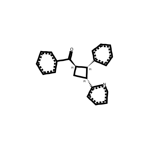 O=C(c1ccccc1)[C@@H]1C[C@@H](c2ccccn2)[C@H]1c1ccccc1